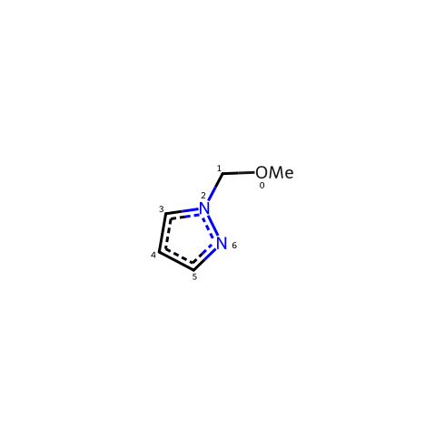 COCn1cccn1